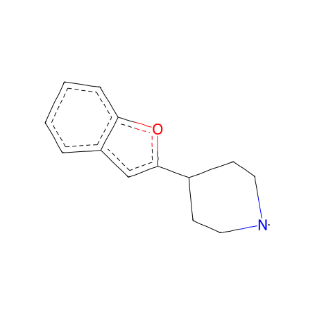 c1ccc2oc(C3CC[N]CC3)cc2c1